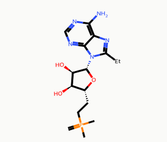 C=P(C)(C)CC[C@H]1O[C@@H](n2c(CC)nc3c(N)ncnc32)[C@H](O)[C@@H]1O